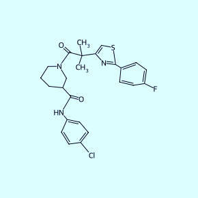 CC(C)(C(=O)N1CCCC(C(=O)Nc2ccc(Cl)cc2)C1)c1csc(-c2ccc(F)cc2)n1